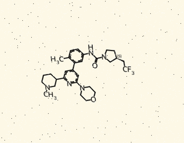 Cc1ccc(NC(=O)N2CC[C@@H](CC(F)(F)F)C2)cc1-c1cc(C2CCCN(C)C2)nc(N2CCOCC2)c1